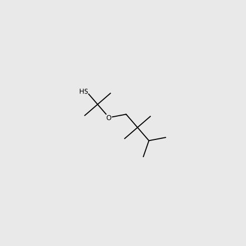 CC(C)C(C)(C)COC(C)(C)S